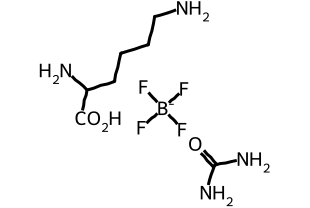 F[B-](F)(F)F.NC(N)=O.NCCCCC(N)C(=O)O